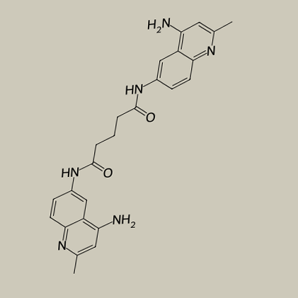 Cc1cc(N)c2cc(NC(=O)CCCC(=O)Nc3ccc4nc(C)cc(N)c4c3)ccc2n1